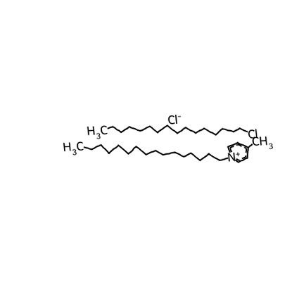 CCCCCCCCCCCCCCCCCl.CCCCCCCCCCCCCCCC[n+]1ccc(C)cc1.[Cl-]